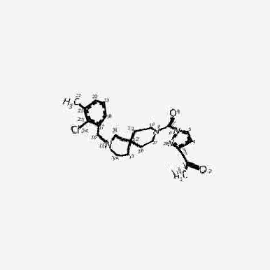 CC(=O)c1ccn(C(=O)N2CCC3(CCN(Cc4cccc(C)c4Cl)C3)CC2)n1